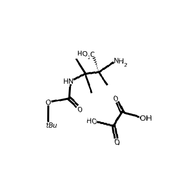 CC(C)(C)OC(=O)NC(C)(C)[C@](C)(N)C(=O)O.O=C(O)C(=O)O